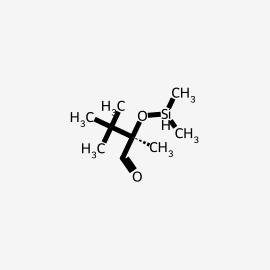 C[SiH](C)O[C@@](C)(C=O)C(C)(C)C